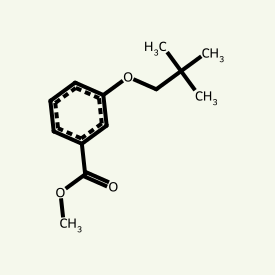 COC(=O)c1cccc(OCC(C)(C)C)c1